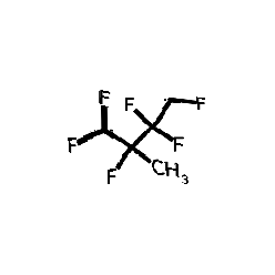 CC(F)([C](F)F)C(F)(F)[CH]F